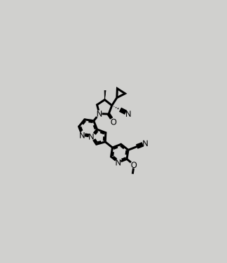 COc1ncc(-c2cc3c(N4C[C@@H](C)[C@@](C#N)(C5CC5)C4=O)ccnn3c2)cc1C#N